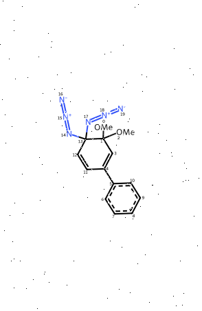 COC1(OC)C=C(c2ccccc2)C=CC1(N=[N+]=[N-])N=[N+]=[N-]